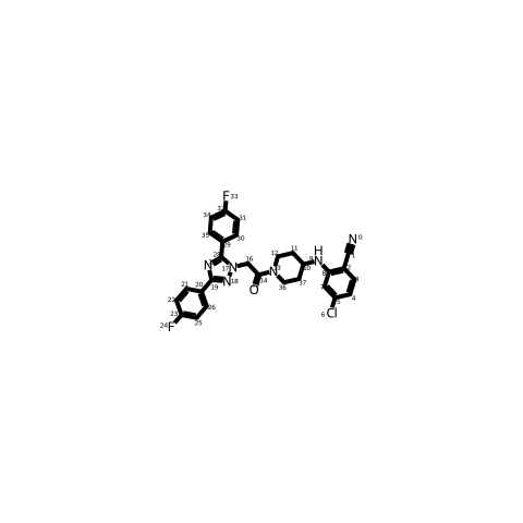 N#Cc1ccc(Cl)cc1NC1CCN(C(=O)Cn2nc(-c3ccc(F)cc3)nc2-c2ccc(F)cc2)CC1